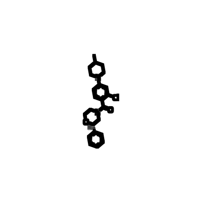 CC1CCN(c2ccc(C(=O)N3CCO[C@@H](c4ccccc4)C3)c(Cl)c2)CC1